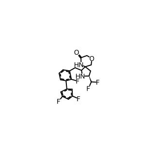 O=C1COCC2(C[C@@H](C(F)F)NC2Cc2cccc(-c3cc(F)cc(F)c3)c2F)N1